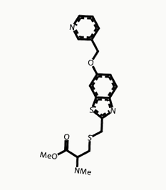 CNC(CSCc1nc2ccc(OCc3cccnc3)cc2s1)C(=O)OC